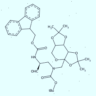 CC(C)(C)OC(=O)N(C[C@@H](C=O)NC(=O)OCC1c2ccccc2-c2ccccc21)CC12OCC3OC(C)(C)OC3C1OC(C)(C)O2